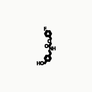 O=C(COCc1ccc(F)cc1)NCCc1ccc(CO)cc1